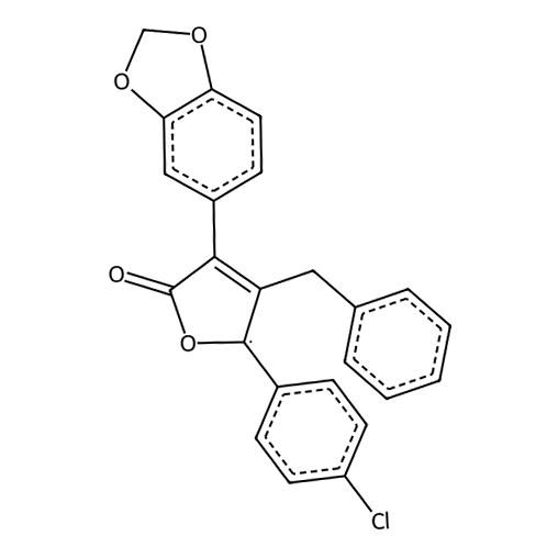 O=C1O[C](c2ccc(Cl)cc2)C(Cc2ccccc2)=C1c1ccc2c(c1)OCO2